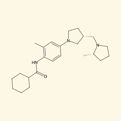 Cc1cc(N2CC[C@H](CN3CCC[C@@H]3C)C2)ccc1NC(=O)C1CCCCC1